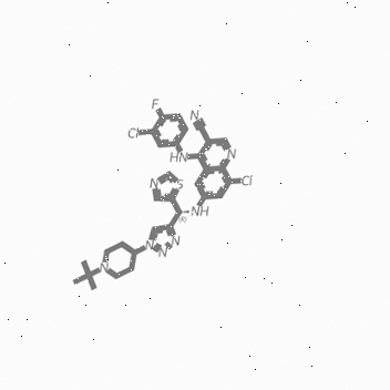 CC(C)(C)N1CCC(n2cc([C@@H](Nc3cc(Cl)c4ncc(C#N)c(Nc5ccc(F)c(Cl)c5)c4c3)c3cncs3)nn2)CC1